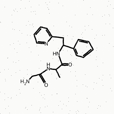 CC(NC(=O)CN)C(=O)NC(Cc1ccccn1)c1ccccc1